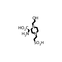 NCC(=O)O.O=S(=O)(O)CCN1CCN(CCO)CC1